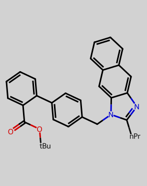 CCCc1nc2cc3ccccc3cc2n1Cc1ccc(-c2ccccc2C(=O)OC(C)(C)C)cc1